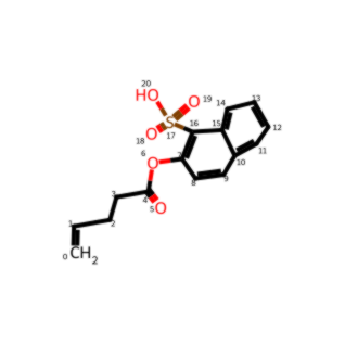 C=CCCC(=O)Oc1ccc2ccccc2c1S(=O)(=O)O